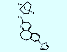 c1cnn(-c2ccc3c(c2)OCCc2nc(N[C@@H]4C[C@@H]5CC[C@@H](C5)C4)ccc2-3)c1